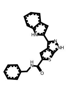 O=C(NCc1ccccc1)c1cc2c(-c3cc4ccccc4[nH]3)n[nH]c2s1